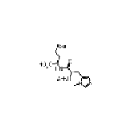 CC(=O)NC(Cc1cncn1C)C(=O)NC(CCC(C)(C)C)C(=O)O